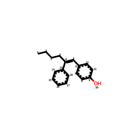 CCCC/C(=C/c1ccc(O)cc1)c1ccccc1